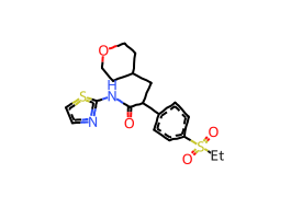 CCS(=O)(=O)c1ccc(C(CC2CCOCC2)C(=O)Nc2nccs2)cc1